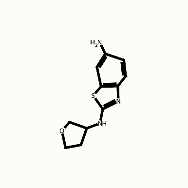 Nc1c[c]c2nc(NC3CCOC3)sc2c1